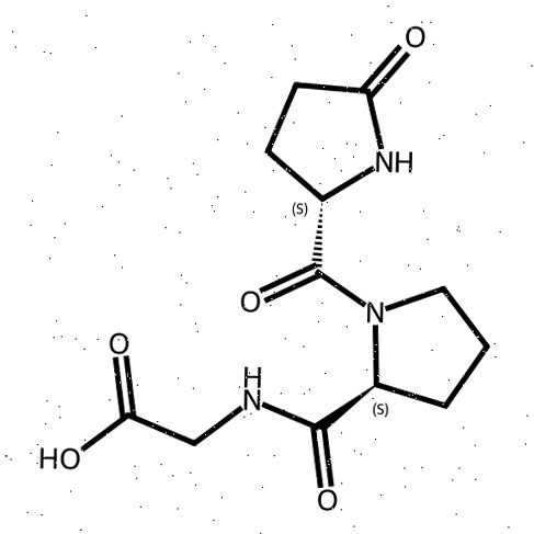 O=C(O)CNC(=O)[C@@H]1CCCN1C(=O)[C@@H]1CCC(=O)N1